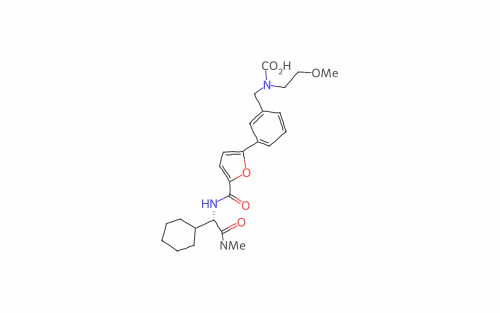 CNC(=O)[C@@H](NC(=O)c1ccc(-c2cccc(CN(CCOC)C(=O)O)c2)o1)C1CCCCC1